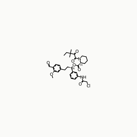 CCC(C)(C)C(=O)C(=O)N1CCCC[C@H]1C(=O)O[C@H](CCc1ccc(C=O)c(OC)c1)c1cccc(NC(=O)CCl)c1